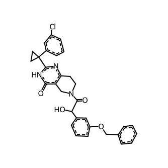 O=C(C(O)c1cccc(OCc2ccccc2)c1)N1CCc2nc(C3(c4cccc(Cl)c4)CC3)[nH]c(=O)c2C1